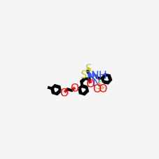 Cc1ccc(OCCOc2ccccc2/C=C2/SC(=S)N(NC3=NS(=O)(=O)c4ccccc43)C2=O)cc1